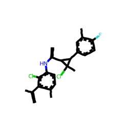 C=C(C)c1c(C)ccc(NC(=C)C2C(c3ccc(F)c(C)c3)C2(C)Cl)c1Cl